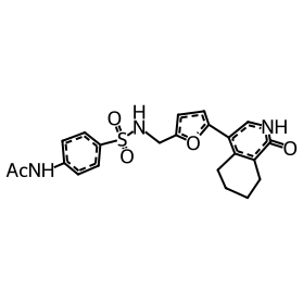 CC(=O)Nc1ccc(S(=O)(=O)NCc2ccc(-c3c[nH]c(=O)c4c3CCCC4)o2)cc1